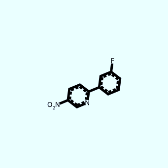 O=[N+]([O-])c1ccc(-c2cccc(F)c2)nc1